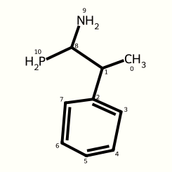 CC(c1ccccc1)C(N)P